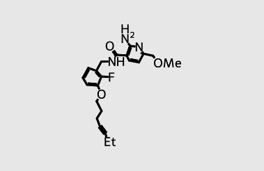 CCC#CCCCOc1cccc(CNC(=O)c2ccc(COC)nc2N)c1F